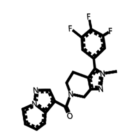 Cn1nc2c(c1-c1cc(F)c(F)c(F)c1)CCN(C(=O)c1cnn3ccccc13)C2